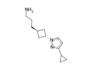 NCCC[C@H]1C[C@H](n2ccc(C3CC3)n2)C1